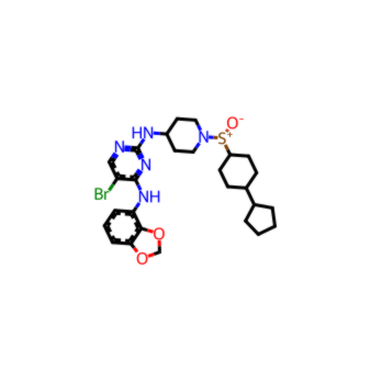 [O-][S+](C1CCC(C2CCCC2)CC1)N1CCC(Nc2ncc(Br)c(Nc3cccc4c3OCO4)n2)CC1